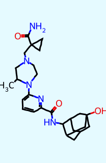 CC1CN(CC2(C(N)=O)CC2)CCN1c1cccc(C(=O)NC2C3CC4CC2CC(O)(C4)C3)n1